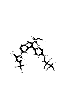 CCS(=O)(=O)c1nn2ccc(-n3nc(C(F)(F)F)cc3C)nc2c1-c1cnc(OCC(F)(F)C(F)(F)F)cn1